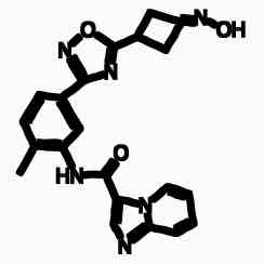 Cc1ccc(-c2noc(C3CC(=NO)C3)n2)cc1NC(=O)c1cnc2ccccn12